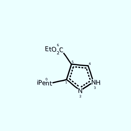 CCCC(C)c1n[nH]cc1C(=O)OCC